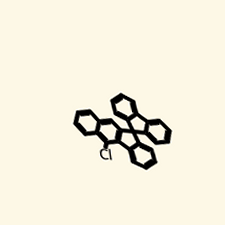 Clc1c2c(cc3ccccc13)C1(c3ccccc3-c3ccccc31)c1ccccc1-2